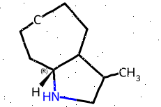 CC1CN[C@@H]2CCCCCC12